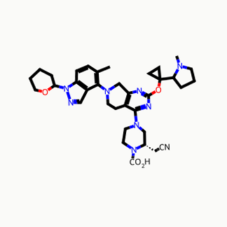 Cc1ccc2c(cnn2C2CCCCO2)c1N1CCc2c(nc(OC3(C4CCCN4C)CC3)nc2N2CCN(C(=O)O)[C@@H](CC#N)C2)C1